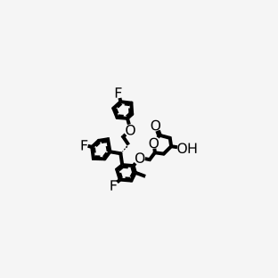 Cc1cc(F)cc([C@@H](CCOc2ccc(F)cc2)c2ccc(F)cc2)c1OCC1CC(O)CC(=O)O1